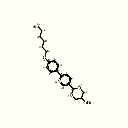 CCCCCCCCCCC1COC(c2ccc(-c3ccc(OCCCCCC(C)CC)cc3)nc2)OC1